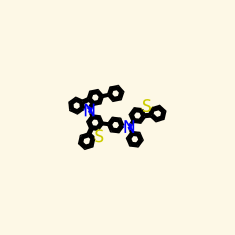 c1ccc(-c2ccc3c4ccccc4n(-c4cc(-c5ccc(N(c6ccccc6)c6ccc7sc8ccccc8c7c6)cc5)c5sc6ccccc6c5c4)c3c2)cc1